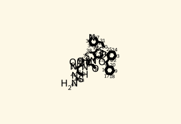 CO/N=C(\C(=O)NC1C(=O)N2C(C(=O)OC(c3ccccc3)c3ccccc3)=C(CS/C=C\c3cccnc3)CS[C@H]12)c1csc(N)n1